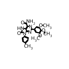 COc1cc(-c2nc(C(N)=O)c3[nH]c(=O)n(-c4ccc(C)cc4)c3n2)cc(OC)c1OC